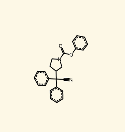 N#CC(c1ccccc1)(c1ccccc1)C1CCN(C(=O)Oc2ccccc2)C1